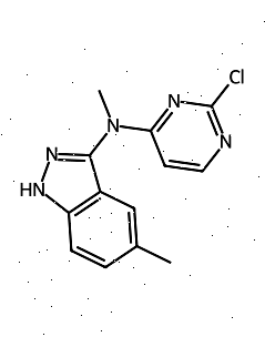 Cc1ccc2[nH]nc(N(C)c3ccnc(Cl)n3)c2c1